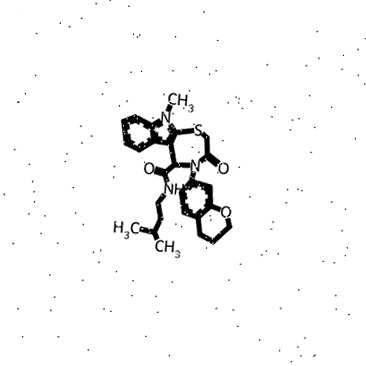 CC(C)CCNC(=O)C1c2c(n(C)c3ccccc23)SCC(=O)N1c1ccc2c(c1)OCCC2